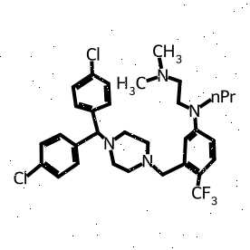 CCCN(CCN(C)C)c1ccc(C(F)(F)F)c(CN2CCN(C(c3ccc(Cl)cc3)c3ccc(Cl)cc3)CC2)c1